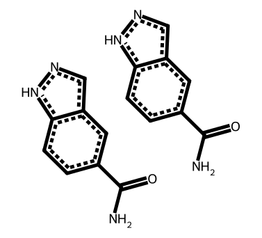 NC(=O)c1ccc2[nH]ncc2c1.NC(=O)c1ccc2[nH]ncc2c1